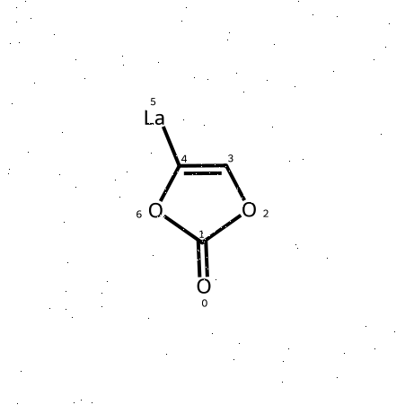 O=c1oc[c]([La])o1